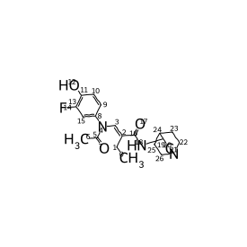 CC/C(=C\N(C(C)=O)c1ccc(O)c(F)c1)C(=O)NC1CN2CCC1CC2